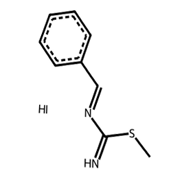 CSC(=N)/N=C/c1ccccc1.I